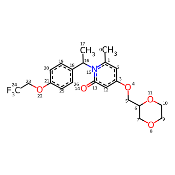 Cc1cc(OCC2COCCO2)cc(=O)n1C(C)c1ccc(OCC(F)(F)F)cc1